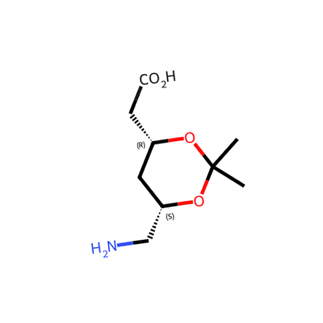 CC1(C)O[C@H](CN)C[C@H](CC(=O)O)O1